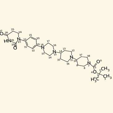 CC(C)(C)OC(=O)N1CCC(N2CCC(N3CCN(c4ccc(N5CCC(=O)NC5=O)cc4)CC3)CC2)CC1